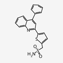 NS(=O)(=O)Cc1ccc(-c2cc(-c3ccccc3)c3ccccc3n2)s1